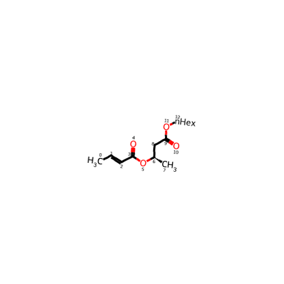 C/C=C/C(=O)O[C@H](C)CC(=O)OCCCCCC